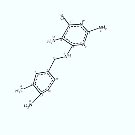 Cc1cc(CNc2nc(N)nc(Cl)c2N)ccc1[N+](=O)[O-]